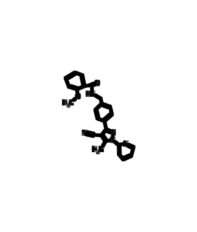 COc1ccccc1C(=O)NCc1ccc(-c2nn(-c3ccccn3)c(N)c2C#N)cc1